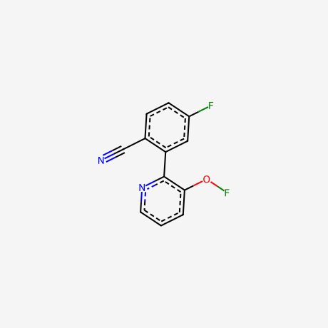 N#Cc1ccc(F)cc1-c1ncccc1OF